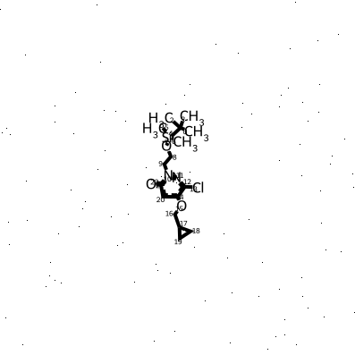 CC(C)(C)[Si](C)(C)OCCn1nc(Cl)c(OCC2CC2)cc1=O